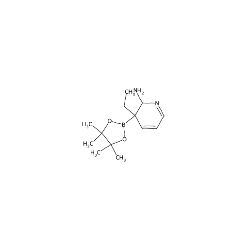 CCC1(B2OC(C)(C)C(C)(C)O2)C=CC=NC1N